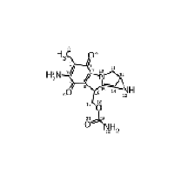 CC1=C(N)C(=O)C2=C(C1=O)N1CC3NC3=C1C2COC(N)=O